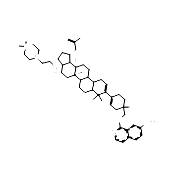 C=C(C)C[C@@H]1CC[C@]2(NCCN3CC[SH](C)(=O)CC3)CC[C@]3(C)[C@H](CCC4[C@@]5(C)CC=C(C6=CCC(COc7nccc8ccc(OC)cc78)(C(=O)O)CC6)C(C)(C)C5CC[C@]43C)C12